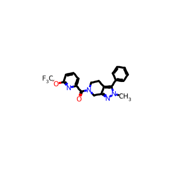 Cn1nc2c(c1-c1ccccc1)CCN(C(=O)c1cccc(OC(F)(F)F)n1)C2